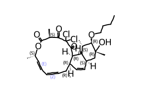 CCCCO[C@@H]1[C@@H](C)[C@H]2[C@@H]3C(=O)C(Cl)(Cl)C(=O)[C@H](C)C(=O)O[C@@H](C)/C=C/C=C\[C@@H](C)[C@@H]3C=C[C@@H]2C[C@@]1(C)O